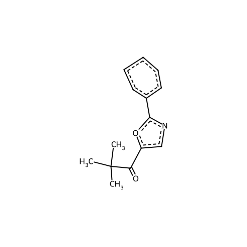 CC(C)(C)C(=O)c1cnc(-c2ccccc2)o1